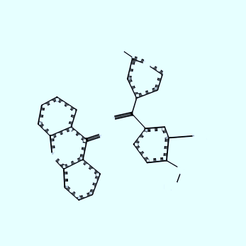 COc1ccc(C(=O)c2cccc(C)c2)cc1C.O=c1c2ccccc2sc2ccccc12